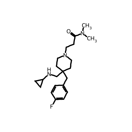 CN(C)C(=O)CCN1CCC(CNC2CC2)(Cc2ccc(F)cc2)CC1